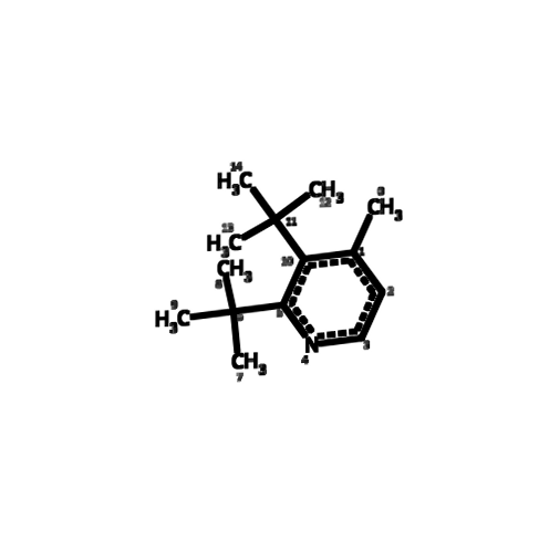 Cc1ccnc(C(C)(C)C)c1C(C)(C)C